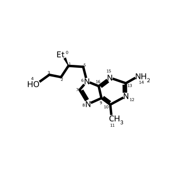 CC[C@H](CCO)Cn1cnc2c(C)nc(N)nc21